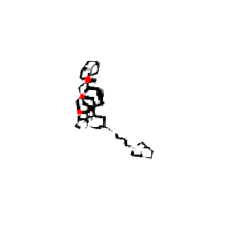 N#Cc1cnn2cc(OCCCN3CC4CCC(C3)O4)cc(-c3ccc(N4CC5CC(C4)N5C(=O)Cc4ccc(OC(F)(F)F)cc4)nc3)c12